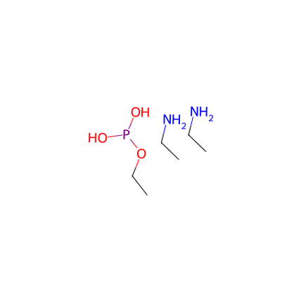 CCN.CCN.CCOP(O)O